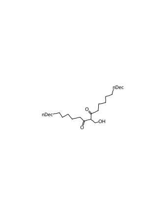 CCCCCCCCCCCCCCCC(=O)C(CO)C(=O)CCCCCCCCCCCCCCC